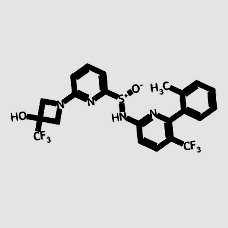 Cc1ccccc1-c1nc(N[S+]([O-])c2cccc(N3CC(O)(C(F)(F)F)C3)n2)ccc1C(F)(F)F